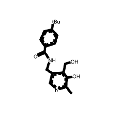 Cc1ncc(CNC(=O)c2ccc(C(C)(C)C)cc2)c(CO)c1O